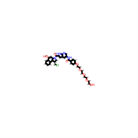 O=C(Nc1cnc2[nH]c(C(=O)N3C[C@@H](CCl)c4c3cc(O)c3ccccc43)cc2c1)c1ccc(OCCOCCOCCOCCO)cc1